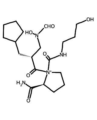 NC(=O)[C@@H]1CCC[N+]1(C(=O)NCCCO)C(=O)[C@H](CC1CCCC1)CN(O)C=O